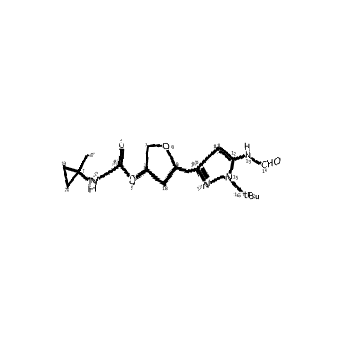 CC1(NC(=O)OC2COC(c3cc(NC=O)n(C(C)(C)C)n3)C2)CC1